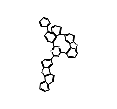 c1ccc(-c2ccc(-c3nc(-c4ccc5oc6c7ccccc7ccc6c5c4)nc(-c4cccc5sc6ccc(-c7ccccc7)cc6c45)n3)cc2)cc1